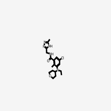 CCN(c1cc(Cl)cc(C(=O)NCc2nnc(C)[nH]2)c1C)C1CCOCC1